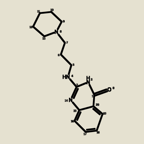 O=c1[nH]c(NCCCN2CCCCC2)nc2ccccc12